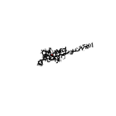 O=C(NCCOCCOCCCCCCCl)C1=Cc2ccc(N3C(=O)c4ccccc4C34c3ccc(N5CCC5)cc3Oc3cc(N5CCC5)ccc34)cc2OC1O